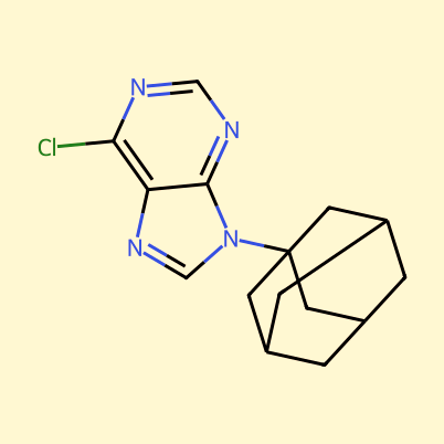 Clc1ncnc2c1ncn2C12CC3CC(CC(C3)C1)C2